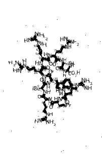 CC[C@H](C)[C@H](NC(=O)[C@H](CCCNC(=N)N)NC(=O)[C@H](CC(C)C)NC(=O)[C@@H](N)CCCNC(=N)N)C(=O)N[C@@H](Cc1c[nH]c2ccccc12)C(=O)N[C@@H](CCCNC(=N)N)C(=O)N[C@@H](CCCNC(=N)N)C(=O)N[C@@H](CCCNC(=N)N)C(=O)N[C@H](C(=O)N[C@H](C(=O)O)C(C)C)[C@@H](C)CC